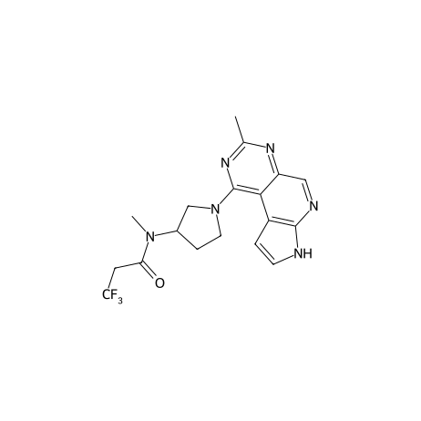 Cc1nc(N2CCC(N(C)C(=O)CC(F)(F)F)C2)c2c(cnc3[nH]ccc32)n1